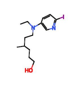 CCN(CCC(C)CCCO)c1ccc(I)nc1